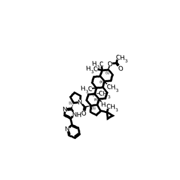 CC(=O)O[C@H]1CC[C@@]2(C)C(CC[C@]3(C)C2CC[C@@H]2C4C(C5(C)CC5)CC[C@]4(C(=O)N4CCC[C@H]4c4ncc(-c5ccccn5)[nH]4)CC[C@]23C)C1(C)C